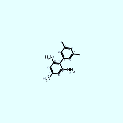 Cc1cc(C)cc(-c2c(N)cc(N)cc2N)c1